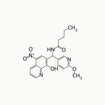 CCCCC(=O)NC(c1ccc(OC)nc1)c1cc([N+](=O)[O-])c2cccnc2c1O